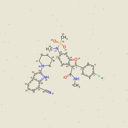 CNC(=O)c1c(-c2ccc(F)cc2)oc2cc(N(C)S(C)(=O)=O)c([C@H]3CCCN(c4cc5cccc(C#N)c5[nH]4)C3)cc12